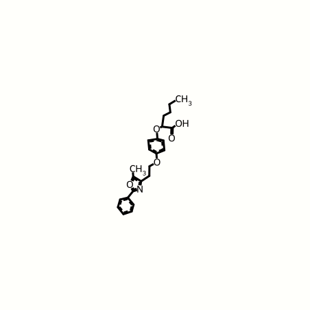 CCCCC(Oc1ccc(OCCc2nc(-c3ccccc3)oc2C)cc1)C(=O)O